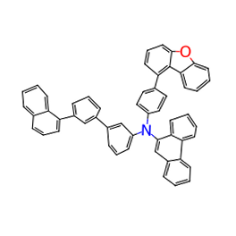 c1cc(-c2cccc(N(c3ccc(-c4cccc5oc6ccccc6c45)cc3)c3cc4ccccc4c4ccccc34)c2)cc(-c2cccc3ccccc23)c1